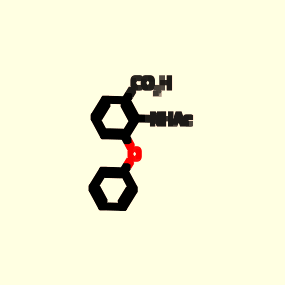 CC(=O)Nc1c(Oc2ccccc2)cccc1C(=O)O